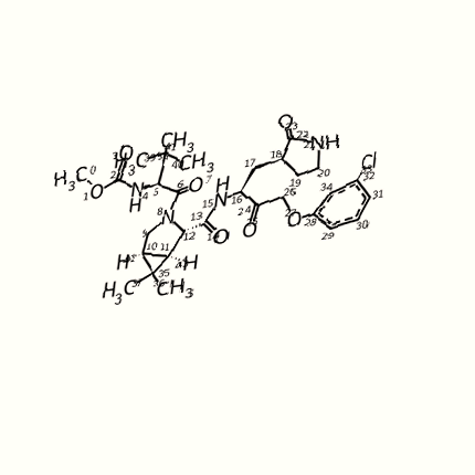 COC(=O)N[C@H](C(=O)N1C[C@H]2[C@@H]([C@H]1C(=O)N[C@@H](C[C@@H]1CCNC1=O)C(=O)COc1cccc(Cl)c1)C2(C)C)C(C)(C)C